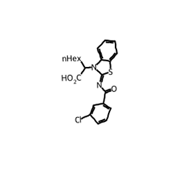 CCCCCCC(C(=O)O)n1c(=NC(=O)c2cccc(Cl)c2)sc2ccccc21